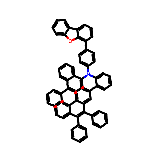 c1ccc(-c2ccc(N(c3ccc(-c4cccc5c4oc4ccccc45)cc3)c3ccccc3-c3ccc4c(c3)c(-c3ccccc3)c(-c3ccccc3)c3ccccc34)c3ccccc23)cc1